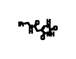 CC(C)CNC(=O)Cc1c[nH]c(=O)[nH]c1=O